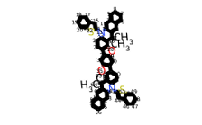 CC1(C)c2cc3ccccc3cc2N(c2cc3ccccc3s2)c2ccc3c(oc4cc5c(cc43)oc3c4c(ccc35)N(c3cc5ccccc5s3)c3cc5ccccc5cc3C4(C)C)c21